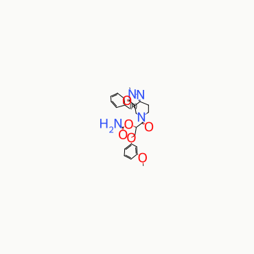 COc1cccc(OCC(OC(N)=O)C(=O)N2CCC3=NN(C)C(=O)[C@]3(Cc3ccccc3)C2)c1